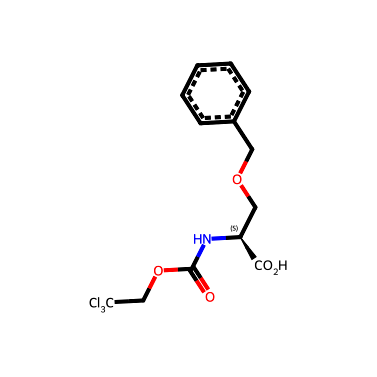 O=C(N[C@@H](COCc1ccccc1)C(=O)O)OCC(Cl)(Cl)Cl